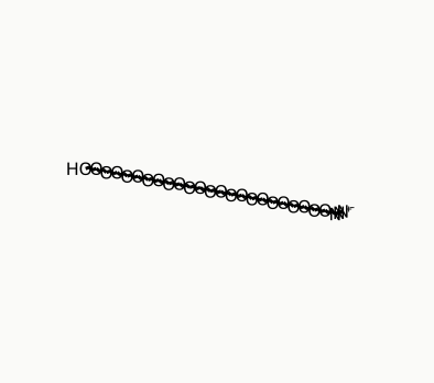 [N-]=[N+]=NCCOCCOCCOCCOCCOCCOCCOCCOCCOCCOCCOCCOCCOCCOCCOCCOCCOCCOCCOCCOCCOCCOCCOCCO